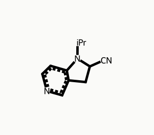 CC(C)N1c2ccncc2CC1C#N